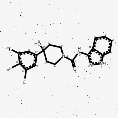 O=C(Nc1n[nH]c2ccccc12)N1CCC(O)(c2cc(F)c(F)c(F)c2)CC1